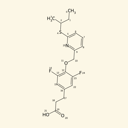 CCC(C)Sc1cccc(COc2c(F)cc(CCC(=O)O)cc2F)n1